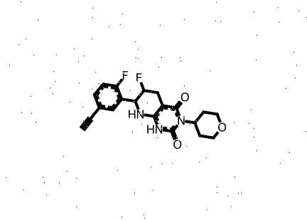 C#Cc1ccc(F)c(C2Nc3[nH]c(=O)n(C4CCOCC4)c(=O)c3CC2F)c1